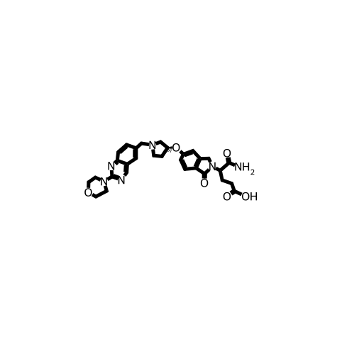 NC(=O)C(CCC(=O)O)N1Cc2cc(O[C@H]3CCN(Cc4ccc5nc(N6CCOCC6)ncc5c4)C3)ccc2C1=O